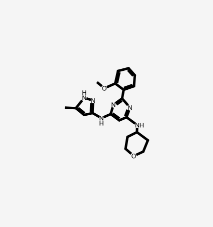 COc1ccccc1-c1nc(Nc2cc(C)[nH]n2)cc(NC2CCOCC2)n1